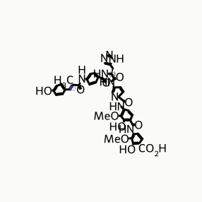 COc1c(NC(=O)c2ccc(NC(=O)c3ccc(NC(=O)[C@H](Cc4cnn[nH]4)NC(=O)c4ccc(NC(=O)/C(C)=C/c5ccc(O)cc5)cc4)cn3)c(OC)c2O)ccc(C(=O)O)c1O